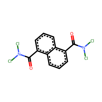 O=C(c1cccc2c(C(=O)N(Cl)Cl)cccc12)N(Cl)Cl